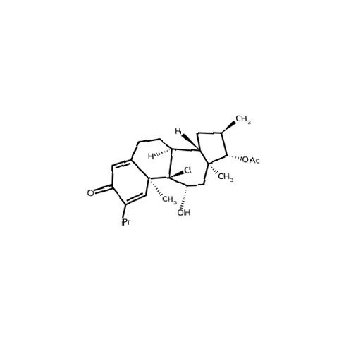 CC(=O)O[C@H]1[C@H](C)C[C@H]2[C@@H]3CCC4=CC(=O)C(C(C)C)=C[C@]4(C)[C@@]3(Cl)[C@@H](O)C[C@@]21C